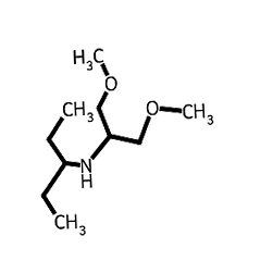 CCC(CC)NC(COC)COC